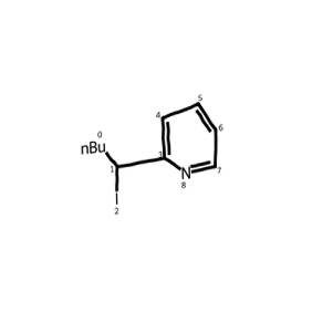 CCCCC(I)c1ccccn1